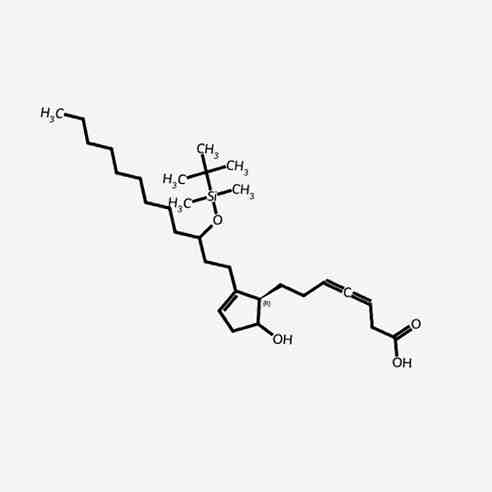 CCCCCCCCCC(CCC1=CCC(O)[C@@H]1CCC=C=CCC(=O)O)O[Si](C)(C)C(C)(C)C